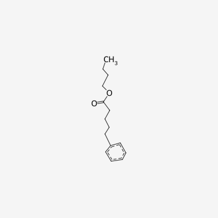 CCCCOC(=O)CCCCc1ccccc1